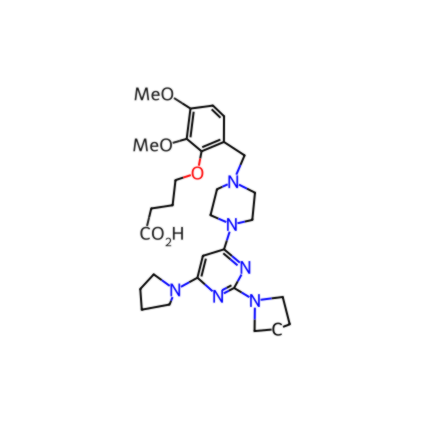 COc1ccc(CN2CCN(c3cc(N4CCCC4)nc(N4CCCC4)n3)CC2)c(OCCCC(=O)O)c1OC